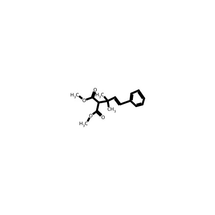 COC(=O)C(C(=O)OC)C(C)(C)/C=C/c1ccccc1